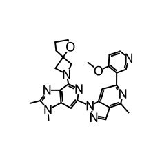 COc1ccncc1-c1cc2c(cnn2-c2cc3c(nc(C)n3C)c(N3CC4(CCCO4)C3)n2)c(C)n1